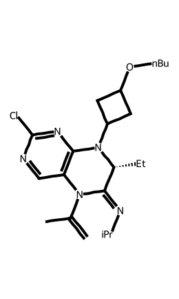 C=C(C)N1/C(=N\C(C)C)[C@@H](CC)N(C2CC(OCCCC)C2)c2nc(Cl)ncc21